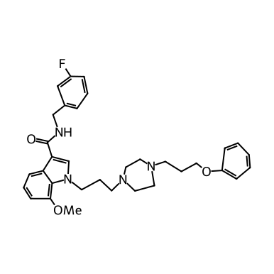 COc1cccc2c(C(=O)NCc3cccc(F)c3)cn(CCCN3CCN(CCCOc4ccccc4)CC3)c12